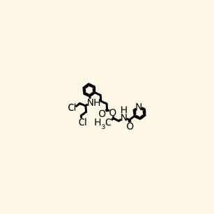 CC(CNC(=O)c1cccnc1)OC(=O)CCCc1ccccc1NC(CCl)CCCl